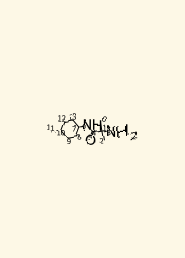 CC(C)(N)C(=O)N[C@H]1CC[C@H](C)CC1